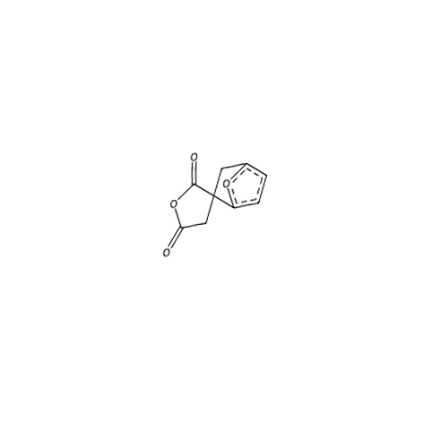 O=C1CC2(Cc3ccc2o3)C(=O)O1